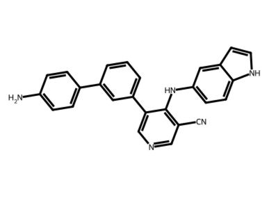 N#Cc1cncc(-c2cccc(-c3ccc(N)cc3)c2)c1Nc1ccc2[nH]ccc2c1